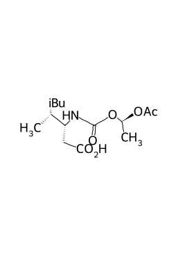 CC[C@@H](C)[C@@H](C)[C@@H](CC(=O)O)NC(=O)O[C@H](C)OC(C)=O